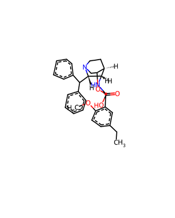 CCc1ccc(OC)c(CN[C@H]2[C@@H]3CCN(C[C@@H]3OC(=O)O)[C@H]2C(c2ccccc2)c2ccccc2)c1